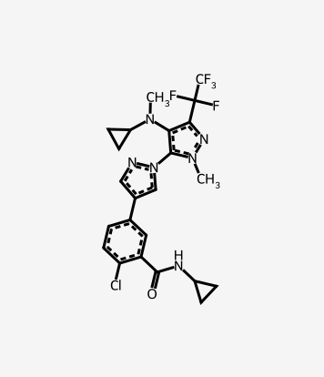 CN(c1c(C(F)(F)C(F)(F)F)nn(C)c1-n1cc(-c2ccc(Cl)c(C(=O)NC3CC3)c2)cn1)C1CC1